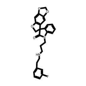 O=C1N(CCCNCCc2cccc(F)c2)c2ccccc2C12COc1cc3c(cc12)OCO3